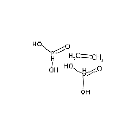 C=C.O=[PH](O)O.O=[PH](O)O